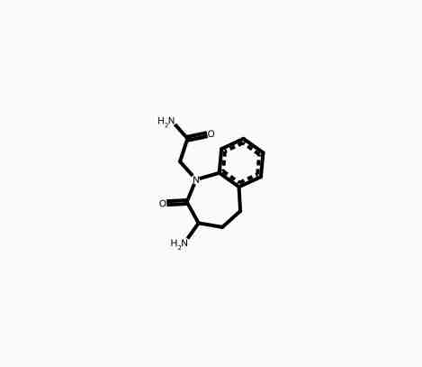 NC(=O)CN1C(=O)C(N)CCc2ccccc21